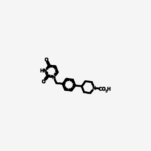 O=C(O)N1CCC(c2ccc(Cn3ccc(=O)[nH]c3=O)cc2)CC1